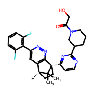 CC1(C)[C@H]2CC[C@]1(c1ccnc(C3CCCN(C(=O)CO)C3)n1)c1nnc(-c3c(F)cccc3F)cc12